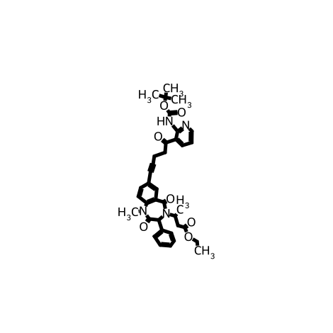 CCOC(=O)CC(C)N1C(=O)c2cc(C#CCCC(=O)c3cccnc3NC(=O)OC(C)(C)C)ccc2N(C)C(=O)C1c1ccccc1